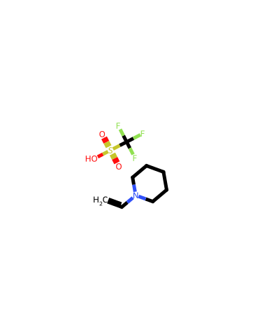 C=CN1CCCCC1.O=S(=O)(O)C(F)(F)F